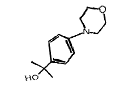 CC(C)(O)c1ccc(N2CCOCC2)cc1